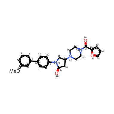 COc1cccc(-c2ccc(N3CC(N4CCN(C(=O)c5ccco5)CC4)CC3=O)cc2)c1